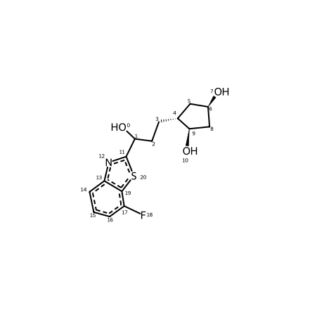 OC(CC[C@@H]1C[C@@H](O)C[C@H]1O)c1nc2cccc(F)c2s1